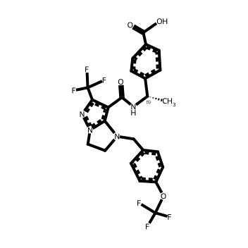 C[C@H](NC(=O)c1c(C(F)(F)F)nn2c1N(Cc1ccc(OC(F)(F)F)cc1)CC2)c1ccc(C(=O)O)cc1